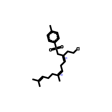 CC(C)=CCC/C(C)=C\C/C=C(/CCCl)CS(=O)(=O)c1ccc(C)cc1